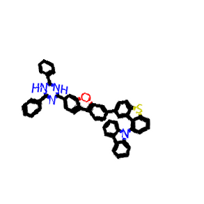 c1ccc(C2=NC(c3ccc4c(c3)oc3cc(-c5ccc6sc7cccc(-n8c9ccccc9c9ccccc98)c7c6c5)ccc34)NC(c3ccccc3)N2)cc1